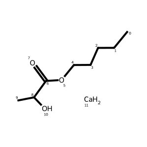 CCCCCOC(=O)C(C)O.[CaH2]